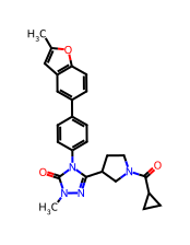 Cc1cc2cc(-c3ccc(-n4c(C5CCN(C(=O)C6CC6)C5)nn(C)c4=O)cc3)ccc2o1